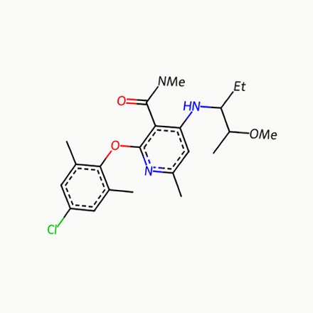 CCC(Nc1cc(C)nc(Oc2c(C)cc(Cl)cc2C)c1C(=O)NC)C(C)OC